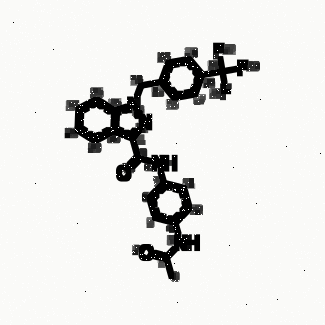 CC(=O)Nc1ccc(NC(=O)c2nn(Cc3ccc(C(F)(F)F)cc3)c3ccccc23)cc1